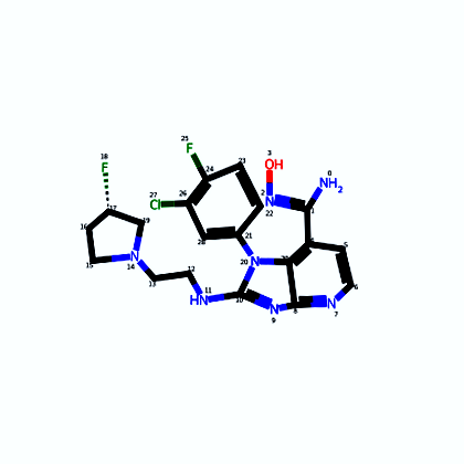 NC(=NO)c1ccnc2nc(NCCN3CC[C@H](F)C3)n(-c3ccc(F)c(Cl)c3)c12